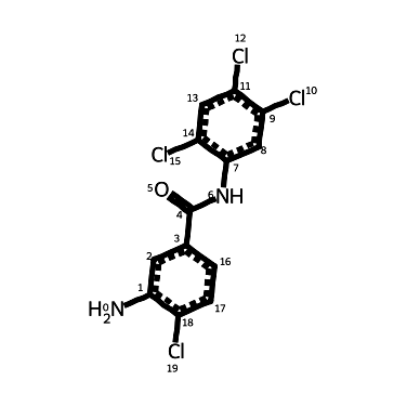 Nc1cc(C(=O)Nc2cc(Cl)c(Cl)cc2Cl)ccc1Cl